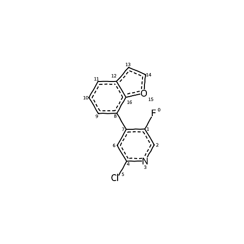 Fc1cnc(Cl)cc1-c1cccc2ccoc12